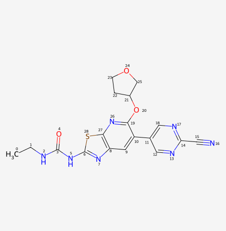 CCNC(=O)Nc1nc2cc(-c3cnc(C#N)nc3)c(OC3CCOC3)nc2s1